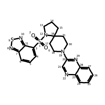 O=S(=O)(c1cccc2nsnc12)N1CCCC12CCN(c1cnc3ccccc3n1)CC2